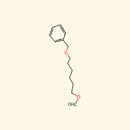 O=COCCCCCCOCc1ccccc1